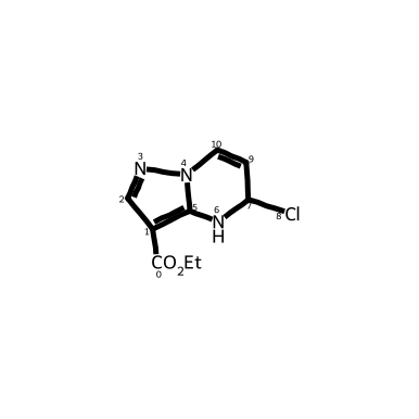 CCOC(=O)c1cnn2c1NC(Cl)C=C2